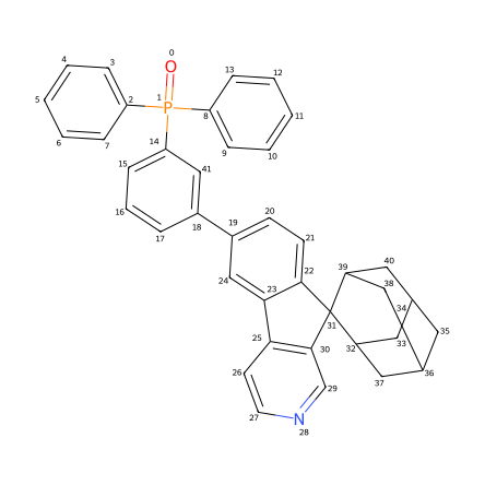 O=P(c1ccccc1)(c1ccccc1)c1cccc(-c2ccc3c(c2)-c2ccncc2C32C3CC4CC(C3)CC2C4)c1